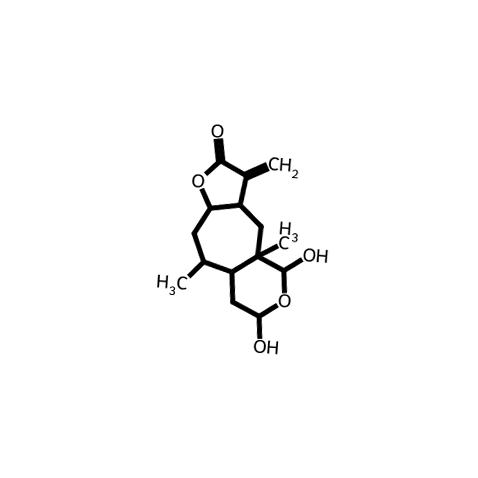 C=C1C(=O)OC2CC(C)C3CC(O)OC(O)C3(C)CC12